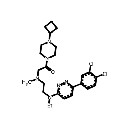 CCN(CCN(C)CC(=O)N1CCN(C2CCC2)CC1)c1ccc(-c2ccc(Cl)c(Cl)c2)nn1